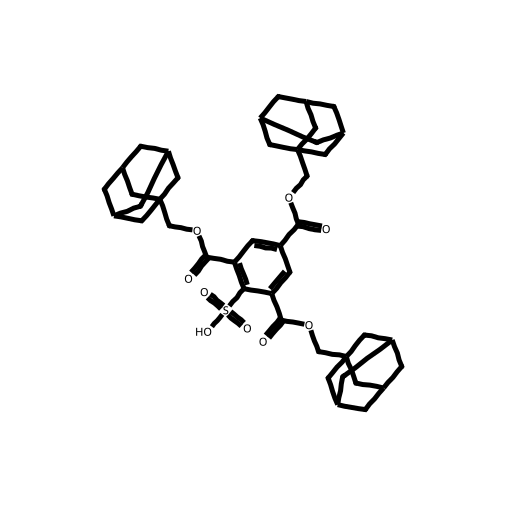 O=C(OCC12CC3CC(CC(C3)C1)C2)c1cc(C(=O)OCC23CC4CC(CC(C4)C2)C3)c(S(=O)(=O)O)c(C(=O)OCC23CC4CC(CC(C4)C2)C3)c1